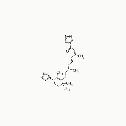 CC1=C(/C=C/C(C)=C/C=C/C(C)=C\C(=O)n2cnnc2)C(C)(C)CCC1n1ccnc1